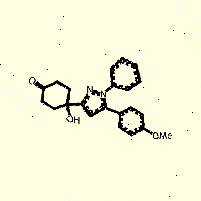 COc1ccc(-c2cc(C3(O)CCC(=O)CC3)nn2-c2ccccc2)cc1